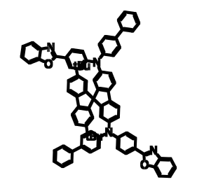 CC(C)(C)c1ccc2c(c1)C1(c3cc(N(c4ccc(-c5ccccc5)cc4)c4ccc(-c5nc6ccccc6o5)cc4)ccc3-c3ccc(N(c4ccc(-c5ccccc5)cc4)c4ccc(-c5nc6ccccc6o5)cc4)cc31)c1cc(C(C)(C)C)ccc1-2